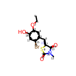 CCOc1cc(/C=C2\SC(=O)N(C)C2=O)c(Br)cc1O